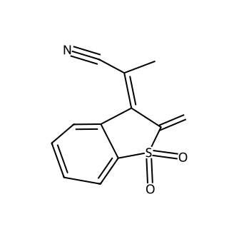 C=C1/C(=C(\C)C#N)c2ccccc2S1(=O)=O